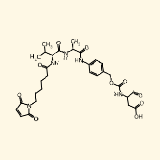 CC(C)[C@H](NC(=O)CCCCCN1C(=O)C=CC1=O)C(=O)N[C@@H](C)C(=O)Nc1ccc(COC(=O)NC([C]=O)CC(=O)O)cc1